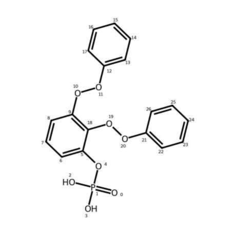 O=P(O)(O)Oc1cccc(OOc2ccccc2)c1OOc1ccccc1